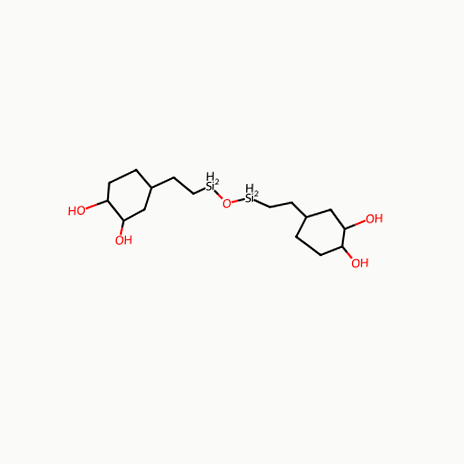 OC1CCC(CC[SiH2]O[SiH2]CCC2CCC(O)C(O)C2)CC1O